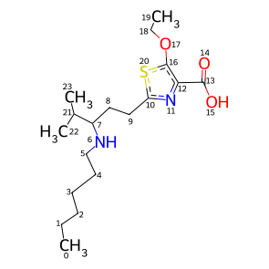 CCCCCCNC(CCc1nc(C(=O)O)c(OCC)s1)C(C)C